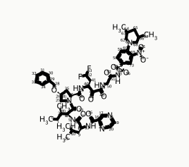 CC[C@@H](C)[C@H](NC(=O)[C@H](CC(C)C)NC(=O)c1cnccn1)C(=O)N1C[C@H](OCc2ccccc2)C[C@H]1C(=O)N[C@@H](CC(F)F)C(=O)C(=O)NCC(=O)NS(=O)(=O)c1ccc(N2CC(C)CC(C)C2)c([N+](=O)[O-])c1